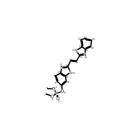 COP(=O)(OC)Oc1ccc2nc(C=Cc3nc4ccccc4s3)sc2c1